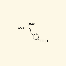 COC(CCc1ccc(C(=O)O)cc1)OC